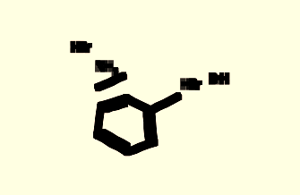 Br.Br.Br.CC.Cc1ccccc1.N